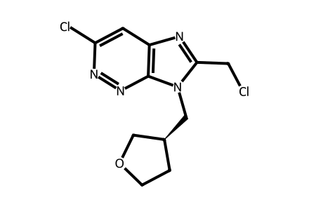 ClCc1nc2cc(Cl)nnc2n1C[C@H]1CCOC1